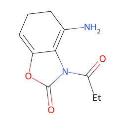 CCC(=O)n1c(=O)oc2c1=C(N)CCC=2